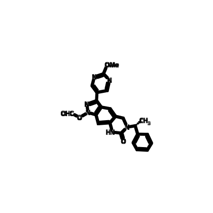 COc1ncc(-c2nn(OC=O)c3cc4c(cc23)CN([C@H](C)c2ccccc2)C(=O)N4)cn1